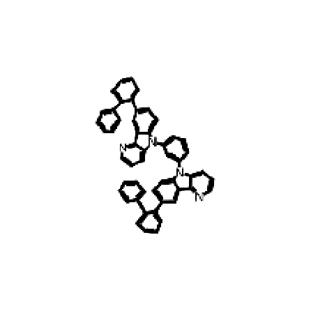 c1ccc(-c2ccccc2-c2ccc3c(c2)c2ncccc2n3-c2cccc(-n3c4ccc(-c5ccccc5-c5ccccc5)cc4c4ncccc43)c2)cc1